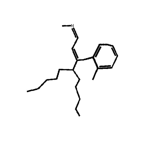 CCCCCC(CCCCC)/C(=C/C=N\C)c1ccccc1C